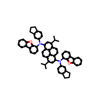 CC(C)c1cc(N(c2ccc3c(c2)CCC3)c2cccc3c2oc2ccccc23)c2ccc3c(C(C)C)cc(N(c4ccc5c(c4)CCC5)c4cccc5c4oc4ccccc45)c4ccc1c2c34